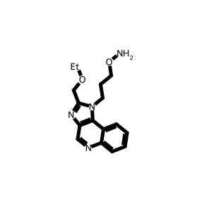 CCOCc1nc2cnc3ccccc3c2n1CCCON